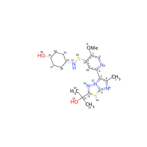 COc1cnc(-c2c(C)nc3sc(C(C)(C)O)nn23)cc1SN[C@H]1CC[C@@H](O)CC1